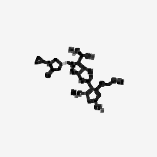 CCOCOc1cc(C(F)(F)F)cc(C)c1-c1cnc2c([C@@H](C)O)n(C[C@@H]3CC(=O)N(C4CC4)C3)nc2n1